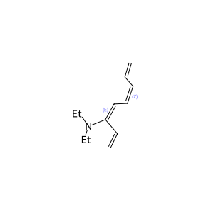 C=C/C=C\C=C(/C=C)N(CC)CC